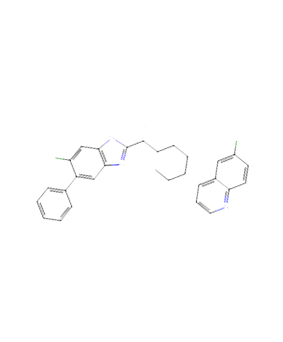 C[C@@H](c1nc2cc(-c3ccccc3)c(F)cc2[nH]1)[C@H]1CC[C@@H](c2ccnc3ccc(F)cc32)CC1